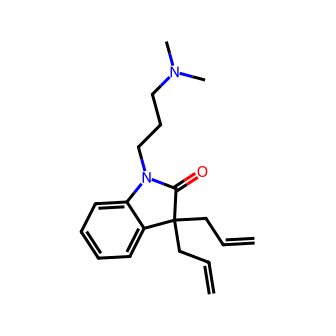 C=CCC1(CC=C)C(=O)N(CCCN(C)C)c2ccccc21